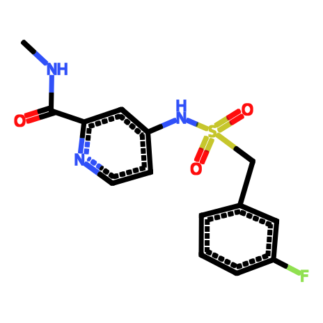 CNC(=O)c1cc(NS(=O)(=O)Cc2cccc(F)c2)ccn1